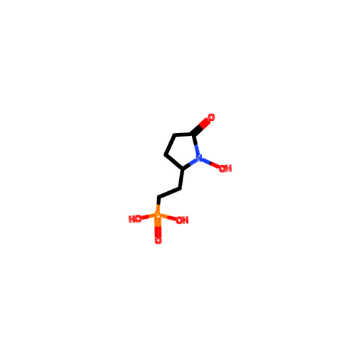 O=C1CCC(CCP(=O)(O)O)N1O